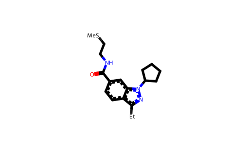 CCc1nn(C2CCCC2)c2cc(C(=O)NCCSC)ccc12